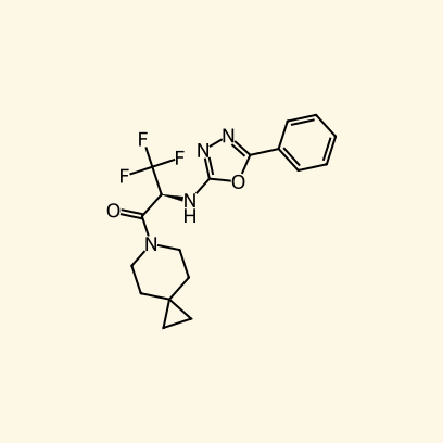 O=C([C@H](Nc1nnc(-c2ccccc2)o1)C(F)(F)F)N1CCC2(CC1)CC2